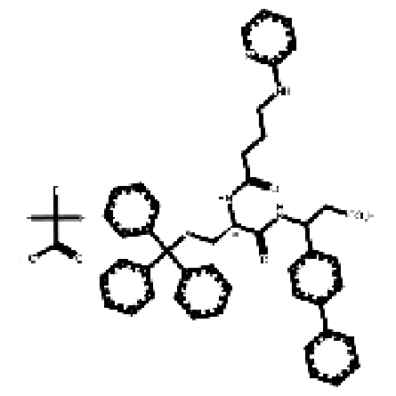 O=C(O)C(F)(F)F.O=C(O)CC(NC(=O)[C@@H](CSC(c1ccccc1)(c1ccccc1)c1ccccc1)NC(=O)CCCNc1ccccn1)c1ccc(-c2ccccc2)cc1